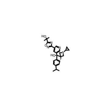 CC(C)c1ccc([C@](O)(c2cncc(-c3noc(C(C)(C)O)n3)c2)C2(F)CN(C3CC3)C2)cc1